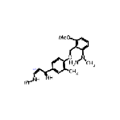 COc1cccc(N(C)N)c1COc1ccc(C(=N)/C=C\NC(C)C)cc1C